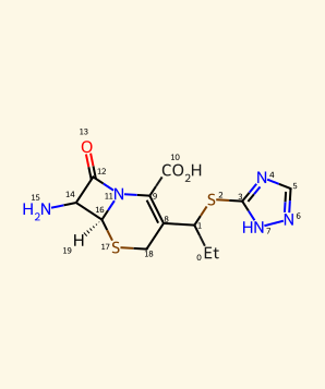 CCC(Sc1ncn[nH]1)C1=C(C(=O)O)N2C(=O)C(N)[C@@H]2SC1